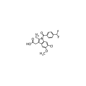 COc1cc2c(CC(=O)O)c(C)n(C(=O)c3ccc(C(F)F)cc3)c2cc1Cl